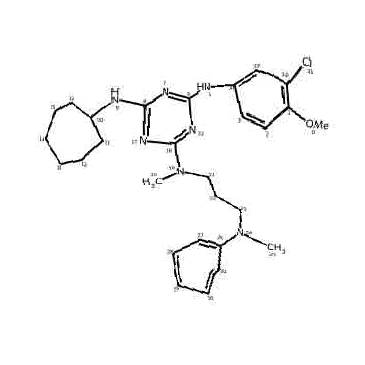 COc1ccc(Nc2nc(NC3CCCCCC3)nc(N(C)CCCN(C)c3ccccc3)n2)cc1Cl